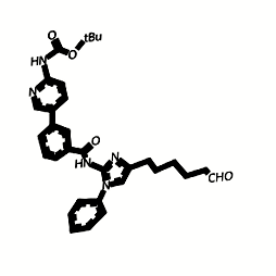 CC(C)(C)OC(=O)Nc1ccc(-c2cccc(C(=O)Nc3nc(CCCCCC=O)cn3-c3ccccc3)c2)cn1